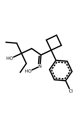 CCC(O)(CC)CC(=NO)C1(c2ccc(Cl)cc2)CCC1